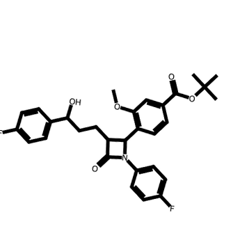 COc1cc(C(=O)OC(C)(C)C)ccc1C1C(CCC(O)c2ccc(F)cc2)C(=O)N1c1ccc(F)cc1